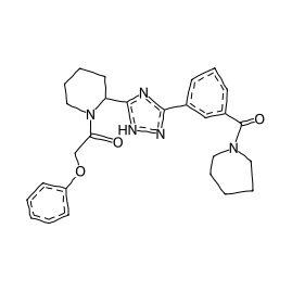 O=C(c1cccc(-c2n[nH]c(C3CCCCN3C(=O)COc3ccccc3)n2)c1)N1CCCCC1